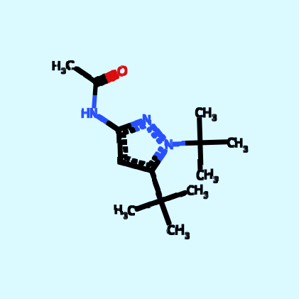 CC(=O)Nc1cc(C(C)(C)C)n(C(C)(C)C)n1